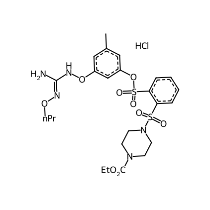 CCCON=C(N)NOc1cc(C)cc(OS(=O)(=O)c2ccccc2S(=O)(=O)N2CCN(C(=O)OCC)CC2)c1.Cl